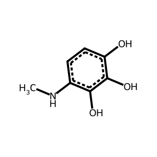 CNc1ccc(O)c(O)c1O